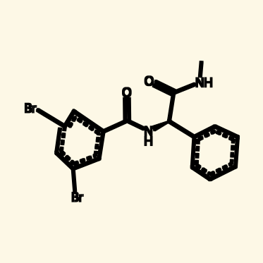 CNC(=O)[C@H](NC(=O)c1cc(Br)cc(Br)c1)c1ccccc1